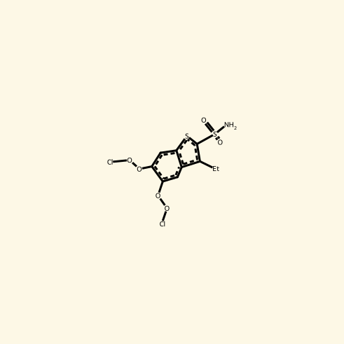 CCc1c(S(N)(=O)=O)sc2cc(OOCl)c(OOCl)cc12